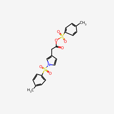 Cc1ccc(S(=O)(=O)OC(=O)Cc2ccn(S(=O)(=O)c3ccc(C)cc3)c2)cc1